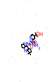 CC(C)(O)c1ccnc([S@](N)(=O)=NC(=O)Nc2c3c(nc4c2CCC4(C)C)CCC3)c1